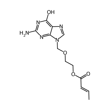 C/C=C/C(=O)OCCOCn1cnc2c(O)nc(N)nc21